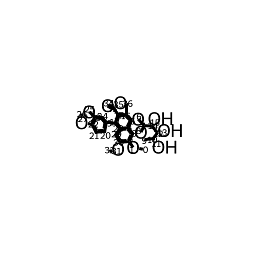 COc1cc2c(OC3OCC(O)C(O)C3O)c3c(c(-c4ccc5c(c4)OCO5)c2cc1OC)C(=O)OC3